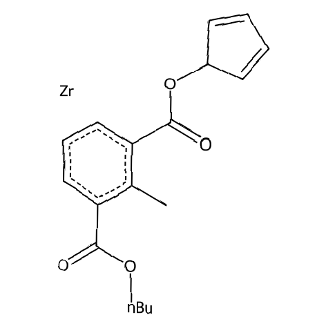 CCCCOC(=O)c1cccc(C(=O)OC2C=CC=C2)c1C.[Zr]